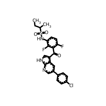 CCC(C)S(=O)(=O)Nc1ccc(F)c(C(=O)c2c[nH]c3ncc(-c4ccc(Cl)cc4)cc23)c1F